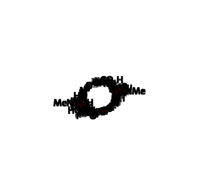 CN[C@@H](C)C(=O)N[C@H](C(=O)N1CC[C@H]2[C@H]1C(=O)N[C@@H](Cc1ccc3ccccc3c1)C(=O)N[C@H](C(=O)O)Cc1ccc(cc1)OCc1cn(nn1)[C@@H]1CCN(C(=O)[C@@H](NC(=O)[C@H](C)NC)C(C)(C)C)[C@]1(O)C(=O)N[C@@H](Cc1ccc3ccccc3c1)C(=O)N[C@H](C(=O)NCc1cc(F)c(O)c(F)c1)Cc1ccc(cc1)OCc1cn2nn1)C(C)(C)C